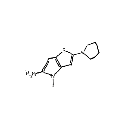 Cn1c(N)cc2sc(N3CCCC3)cc21